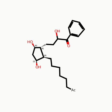 CC(=O)CCCCCC[C@@H]1[C@@H](CCC(O)C(=O)c2ccccc2)[C@H](O)C[C@@H]1O